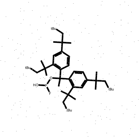 CC(C)(C)CC(C)(C)c1ccc(C(C)(OP(O)F)c2ccc(C(C)(C)CC(C)(C)C)cc2C(C)(C)CC(C)(C)C)c(C(C)(C)CC(C)(C)C)c1